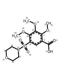 COc1c(C(=O)O)cc(S(=O)(=O)N2CCOCC2)c(OC)c1OC